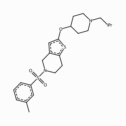 Cc1cccc(S(=O)(=O)N2CCc3sc(OC4CCN(CC(C)C)CC4)cc3C2)c1